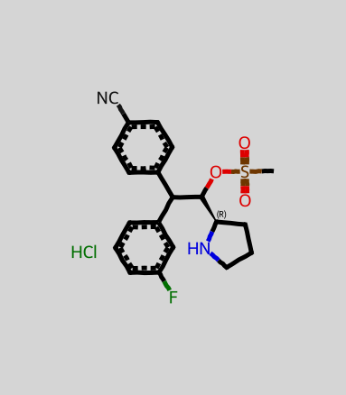 CS(=O)(=O)OC(C(c1ccc(C#N)cc1)c1cccc(F)c1)[C@H]1CCCN1.Cl